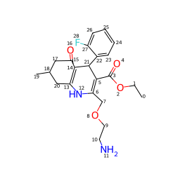 CCOC(=O)C1=C(COCCN)NC2=C(C(=O)CC(C)C2)C1c1ccccc1F